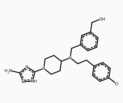 Nc1n[nH]c(N2CCC(N(CCc3ccc(Cl)cc3)Cc3cccc(CO)c3)CC2)n1